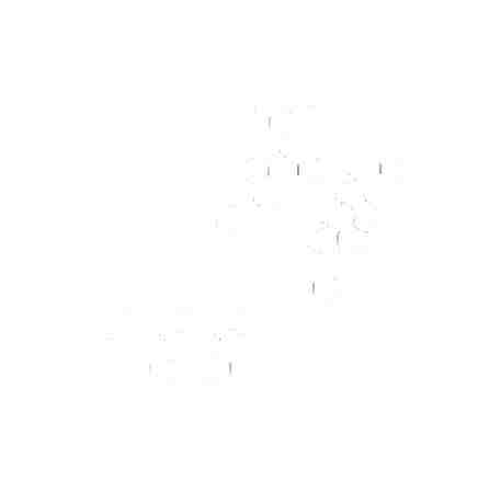 CCc1ccc2c(c1)B1c3cc(CC)ccc3N(c3cc(C(C)(C)C)cc(C(C)(C)CCC(C)(C)c4cc(N5c6ccc(-c7nc(-c8ccccc8)cc(-c8ccccc8)n7)cc6B6c7cc(-c8nc(-c9ccccc9)cc(-c9ccccc9)n8)ccc7N(c7cc(C(C)(C)C)cc(C(C)(C)C)c7)c7cccc5c76)cc(C(C)(C)C)c4)c3)c3cccc(c31)N2c1cc(C(C)(C)C)cc(C(C)(C)C)c1